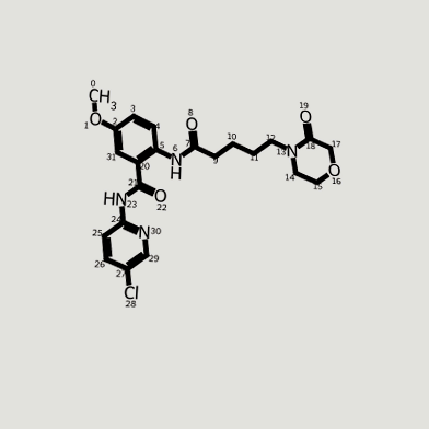 COc1ccc(NC(=O)CCCCN2CCOCC2=O)c(C(=O)Nc2ccc(Cl)cn2)c1